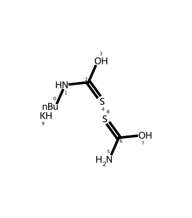 CCCCNC(O)=S.NC(O)=S.[KH]